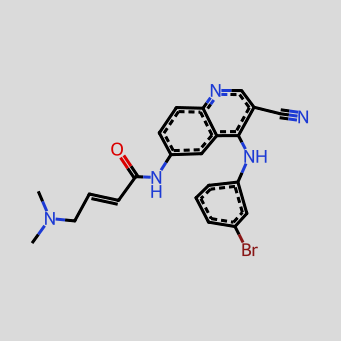 CN(C)CC=CC(=O)Nc1ccc2ncc(C#N)c(Nc3cccc(Br)c3)c2c1